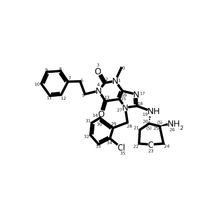 Cn1c(=O)n(CCc2ccccc2)c(=O)c2c1nc(N[C@H]1CCCC[C@@H]1N)n2Cc1ccccc1Cl